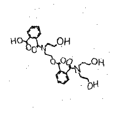 O=C(O)c1ccccc1C(=O)N(CCO)CCOC(=O)c1ccccc1C(=O)N(CCO)CCO